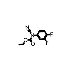 CCOC(=O)N(C#N)c1ccc(F)c(F)c1